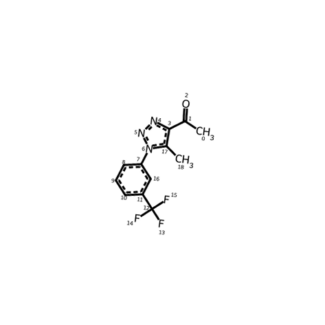 CC(=O)c1nnn(-c2cccc(C(F)(F)F)c2)c1C